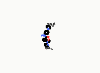 Cc1ccc(N2CCOc3c(C(=O)Nc4ccc(N5CCC(C(=O)O)CC5)cc4)cccc32)nc1